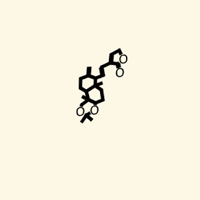 C=C1CCC2C3(C)COC(C)(C)OC3CCC2(C)C1C=CC1=CCOC1=O